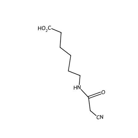 N#CCC(=O)NCCCCCC(=O)O